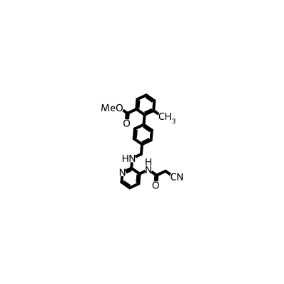 COC(=O)c1cccc(C)c1-c1ccc(CNc2ncccc2NC(=O)CC#N)cc1